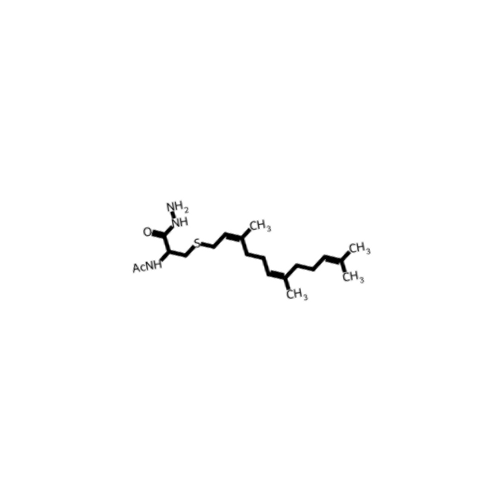 CC(=O)NC(CSCC=C(C)CCC=C(C)CCC=C(C)C)C(=O)NN